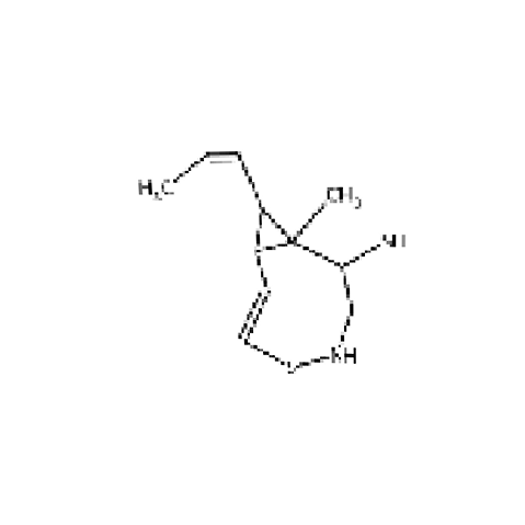 C/C=C\C1C2/C=C/SNCC(S)C12C